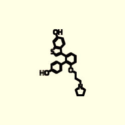 Oc1ccc(-c2c(OCCCN3CCCC3)cccc2-c2csc3cc(O)ccc23)cc1